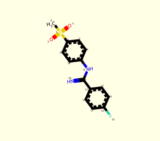 CS(=O)(=O)c1ccc(NC(=N)c2ccc(F)cc2)cc1